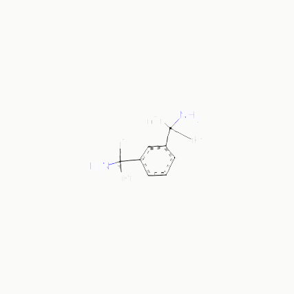 CCCC(N)(c1cccc(C(N)(C(C)C)C(C)C)c1)C(C)C